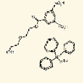 CCCC[N+](c1ccccc1)(c1ccccc1)c1ccccc1.O=C(O)c1cc(C(=O)OCCOCCO)cc(S(=O)(=O)O)c1